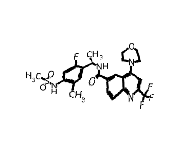 Cc1cc([C@@H](C)NC(=O)c2ccc3nc(C(F)(F)F)cc(N4CCOCC4)c3c2)c(F)cc1NS(C)(=O)=O